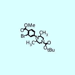 COC(=O)c1ccc(N2[C@H](C)CN(C(=O)OC(C)(C)C)C[C@@H]2C)cc1Br